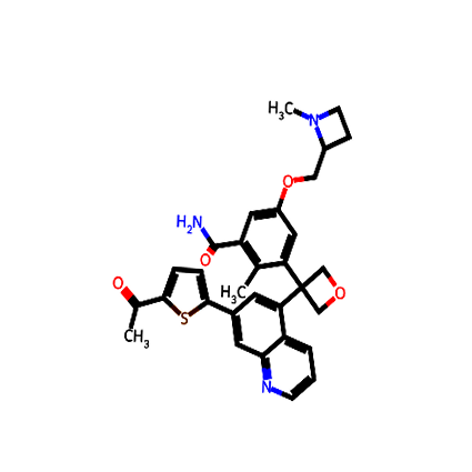 CC(=O)c1ccc(-c2cc(C3(c4cc(OCC5CCN5C)cc(C(N)=O)c4C)COC3)c3cccnc3c2)s1